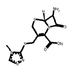 Cn1cnnc1SCC1=C(C(=O)O)N2C(=O)C(N)[C@H]2SC1